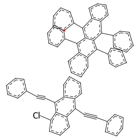 Clc1cccc2c(C#Cc3ccccc3)c3ccccc3c(C#Cc3ccccc3)c12.c1ccc(-c2c3ccccc3c(-c3ccccc3)c3c(-c4ccccc4)c4ccccc4c(-c4ccccc4)c23)cc1